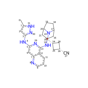 Cc1cc(Nc2cc3ncccc3c(NC3CC4CCC(C3)N4C[C@H]3C[C@@H](C#N)C3)n2)n[nH]1